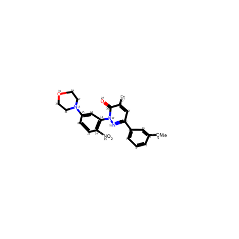 CCc1cc(-c2cccc(OC)c2)nn(-c2cc(N3CCOCC3)ccc2[N+](=O)[O-])c1=O